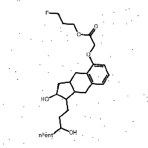 CCCCCC(O)CCC1C(O)CC2Cc3c(cccc3OCC(=O)OCCCF)CC21